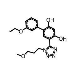 CCOc1cccc(-c2cc(-c3nnnn3CCCOC)c(O)cc2O)c1